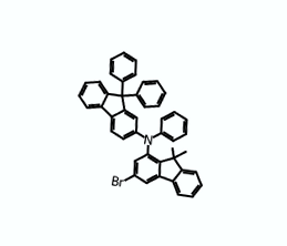 CC1(C)c2ccccc2-c2cc(Br)cc(N(c3ccccc3)c3ccc4c(c3)C(c3ccccc3)(c3ccccc3)c3ccccc3-4)c21